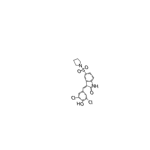 O=C1Nc2ccc(S(=O)(=O)N3CCCC3)cc2C1=Cc1cc(Cl)c(O)c(Cl)c1